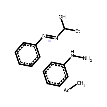 CC(C)=O.CCC(O)/N=N/c1ccccc1.NNc1ccccc1